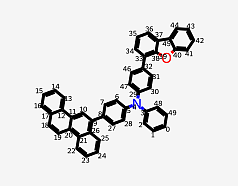 c1ccc(N(c2ccc(-c3cc4c5ccccc5ccc4c4ccccc34)cc2)c2ccc(-c3cccc4c3oc3ccccc34)cc2)cc1